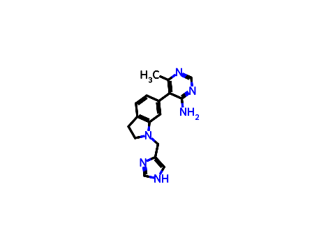 Cc1ncnc(N)c1-c1ccc2c(c1)N(Cc1c[nH]cn1)CC2